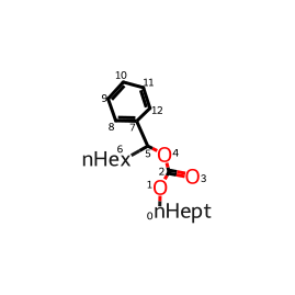 CCCCCCCOC(=O)OC(CCCCCC)c1ccccc1